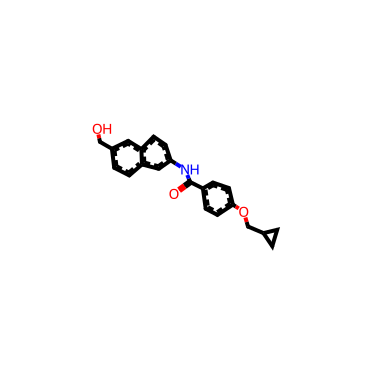 O=C(Nc1ccc2cc(CO)ccc2c1)c1ccc(OCC2CC2)cc1